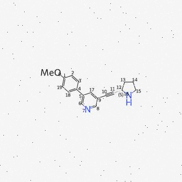 COc1ccc(-c2cncc(C#C[C@@H]3CCCN3)c2)cc1